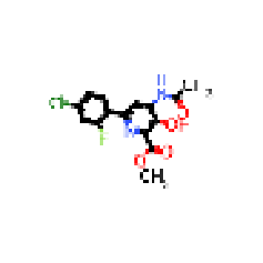 COC(=O)c1nc(-c2ccc(Cl)cc2F)cc(NC(C)=O)c1O